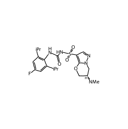 CN[C@H]1COc2c(S(=O)(=O)NC(=O)Nc3c(C(C)C)cc(F)cc3C(C)C)cnn2C1